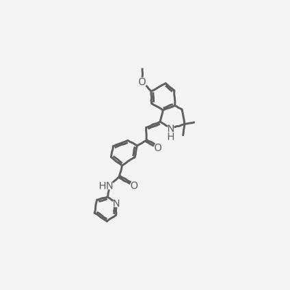 COc1ccc2c(c1)/C(=C/C(=O)c1cccc(C(=O)Nc3ccccn3)c1)NC(C)(C)C2